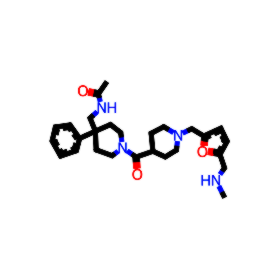 CNCc1ccc(CN2CCC(C(=O)N3CCC(CNC(C)=O)(c4ccccc4)CC3)CC2)o1